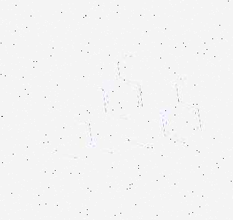 COc1cccc(CCCN(CCS)C(C)c2cccc(OC)n2)n1